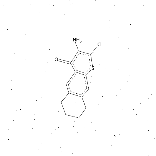 Nc1c(Cl)sc2cc3c(cc2c1=O)CCCC3